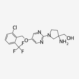 NC1(CO)CCN(c2ncc(OCc3c(Cl)cccc3C(F)(F)F)cn2)C1